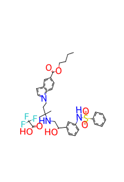 CCCCOC(=O)c1ccc2c(ccn2CCC(C)(C)NC[C@H](O)c2cccc(NS(=O)(=O)c3ccccc3)c2)c1.O=C(O)C(F)(F)F